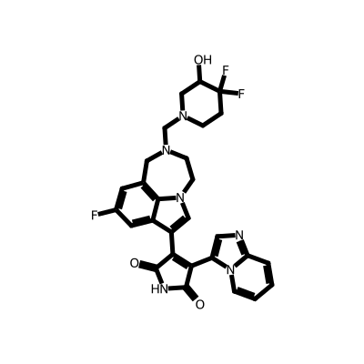 O=C1NC(=O)C(c2cnc3ccccn23)=C1c1cn2c3c(cc(F)cc13)CN(CN1CCC(F)(F)C(O)C1)CC2